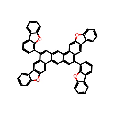 c1ccc2c(c1)oc1cc3c(cc12)c(-c1cccc2c1oc1ccccc12)cc1cc2c(cc(-c4cccc5c4oc4ccccc45)c4cc5c(cc42)oc2ccccc25)cc13